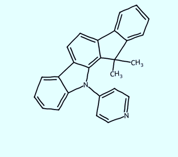 CC1(C)c2ccccc2-c2ccc3c4ccccc4n(-c4ccncc4)c3c21